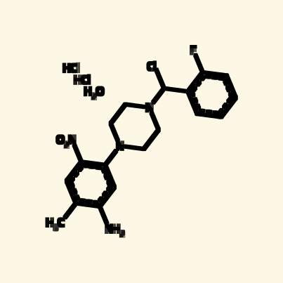 Cc1cc([N+](=O)[O-])c(N2CCN(C(Cl)c3ccccc3F)CC2)cc1N.Cl.Cl.O